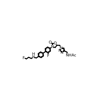 CC(=O)NCc1cn(CC2CN(c3ccc(-c4ccc(CNCCCF)cc4)c(F)c3)C(=O)O2)nn1